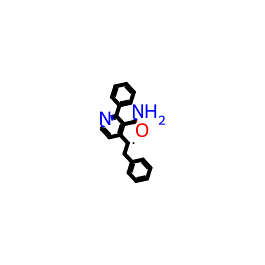 NC(=O)c1c([CH]Cc2ccccc2)ccnc1-c1ccccc1